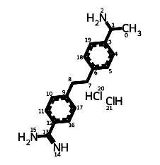 CC(N)c1ccc(CCc2ccc(C(=N)N)cc2)cc1.Cl.Cl